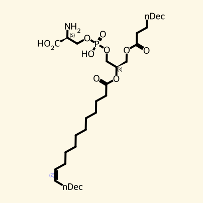 CCCCCCCCCC/C=C\CCCCCCCCCC(=O)O[C@H](COC(=O)CCCCCCCCCCCC)COP(=O)(O)OC[C@H](N)C(=O)O